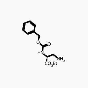 CCOC(=O)[C@H](CN)NC(=O)OCc1ccccc1